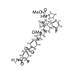 COC(=O)N[C@H]1CCC[C@@H]1C(CN1CCC1)(c1cccc(F)c1)C1CCN(CC2(OC)CN(c3ccc(S(=O)(=O)c4ccc(C(N)=O)c(F)c4)cc3)C2)CC1